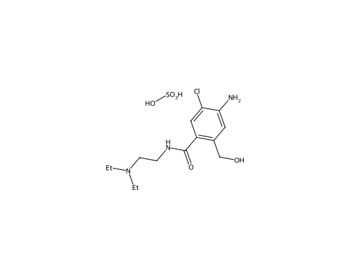 CCN(CC)CCNC(=O)c1cc(Cl)c(N)cc1CO.O=S(=O)(O)O